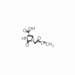 CCOC(=O)CN1C[C@@H](C(=O)O)NC1=O